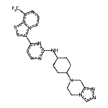 FC(F)(F)c1cccn2c(-c3ccnc(NC4CC[C](N5CCn6cnnc6C5)CC4)n3)cnc12